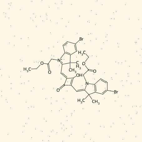 CCOC(=O)CN1C(=CC2=C(O)C(=CC3=[N+](CC(=O)OCC)c4ccc(Br)cc4C3(C)C)C2=O)C(C)(C)c2cc(Br)ccc21